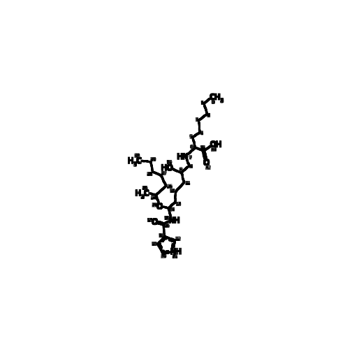 CCCCCCC(NCC(O)CCCC(NC(=O)c1cc[nH]c1)OC(C)CCCCC)C(=O)O